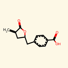 C=C1CC(Cc2ccc(C(=O)O)cc2)OC1=O